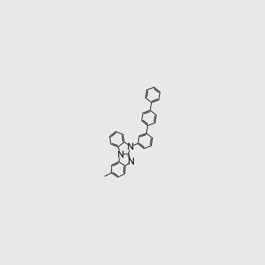 Cc1ccc2nc3n(-c4cccc(-c5ccc(-c6ccccc6)cc5)c4)c4ccccc4n3c2c1